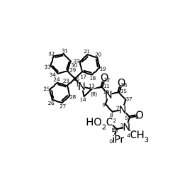 CC(C)[C@@H](C(=O)O)N(C)C(=O)N1CCN(C(=O)[C@H]2CN2C(c2ccccc2)(c2ccccc2)c2ccccc2)C(=O)C1